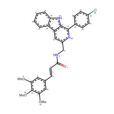 COc1cc(/C=C/C(=O)NCc2cc3c([nH]c4ccccc43)c(-c3ccc(Cl)cc3)n2)cc(OC)c1OC